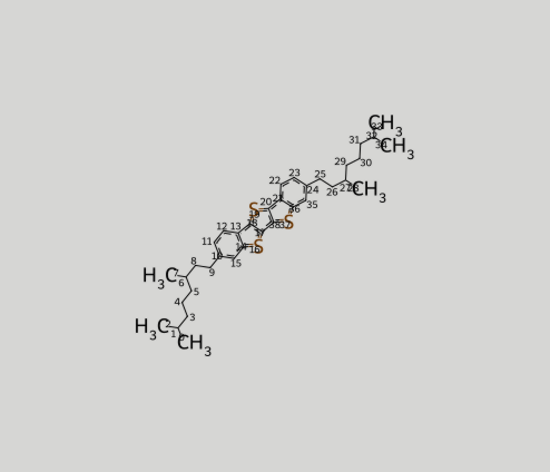 CC(C)CCCC(C)CCc1ccc2c(c1)sc1c2sc2c3ccc(CCC(C)CCCC(C)C)cc3sc21